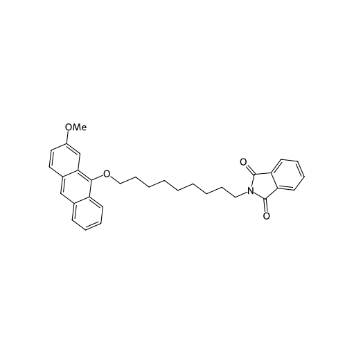 COc1ccc2cc3ccccc3c(OCCCCCCCCCN3C(=O)c4ccccc4C3=O)c2c1